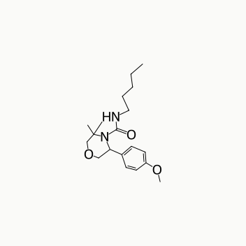 CCCCCNC(=O)N1C(c2ccc(OC)cc2)COCC1(C)C